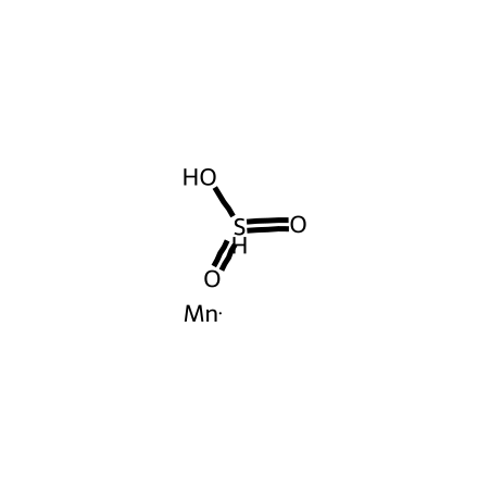 O=[SH](=O)O.[Mn]